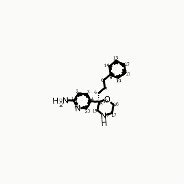 Nc1ccc([C@]2(CCCc3ccccc3)CNCCO2)cn1